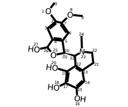 COc1cc2c(cc1OC)[C@@H](C1c3c(cc(O)c(O)c3O)CCN1C)OC2O